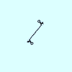 Clc1nc(OCCOCCOCCOCCOCCOc2nc(Cl)nc(-c3ccccc3)n2)nc(-c2ccccc2)n1